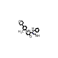 Cc1cc(C2CCOCC2)ccc1-n1ccc(=O)c(/C(=C/C=N)Nc2ccccc2)n1